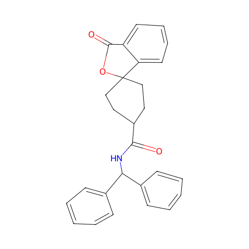 O=C1OC2(CCC(C(=O)NC(c3ccccc3)c3ccccc3)CC2)c2ccccc21